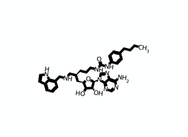 CCCCc1ccc(NC(=O)NCCC[C@H](CNCc2cccc3cc[nH]c23)C[C@H]2O[C@@H](n3cnc4c(N)ncnc43)[C@@H](O)C2O)cc1